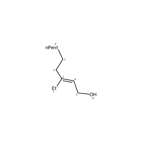 CCCCCCCC(=CCO)CC